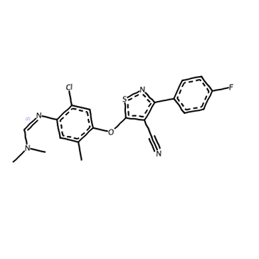 Cc1cc(/N=C\N(C)C)c(Cl)cc1Oc1snc(-c2ccc(F)cc2)c1C#N